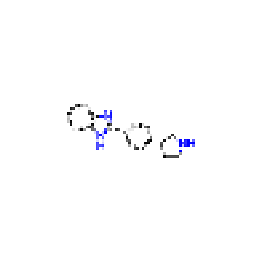 C1CCNC1.c1ccc(-c2nc3ccccc3[nH]2)cc1